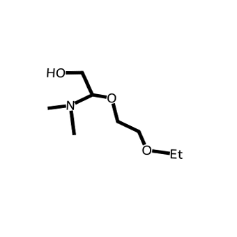 CCOCCOC(CO)N(C)C